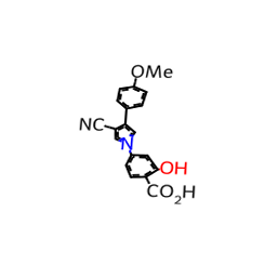 COc1ccc(-c2cn(-c3ccc(C(=O)O)c(O)c3)cc2C#N)cc1